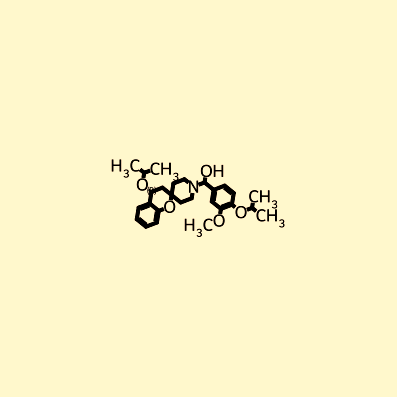 COc1cc(C(O)N2CCC3(CC2)C[C@@H](OC(C)C)c2ccccc2O3)ccc1OC(C)C